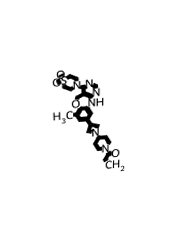 C=CC(=O)N1CCC(N2CC(c3cc(C)c4c(c3)Nc3ncnc(N5CCS(=O)(=O)CC5)c3CO4)C2)CC1